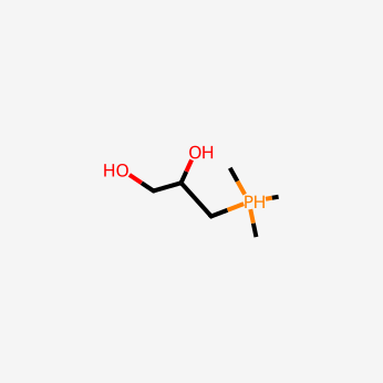 C[PH](C)(C)CC(O)CO